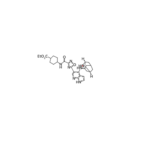 CCOC(=O)C1CCC(NC(=O)c2noc(-c3cnc4[nH]ccc4c3N[C@@]34CC5C[C@H](C3)C(O)[C@@H](C5)C4)n2)CC1